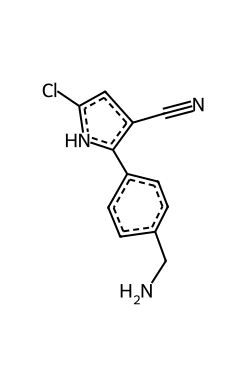 N#Cc1cc(Cl)[nH]c1-c1ccc(CN)cc1